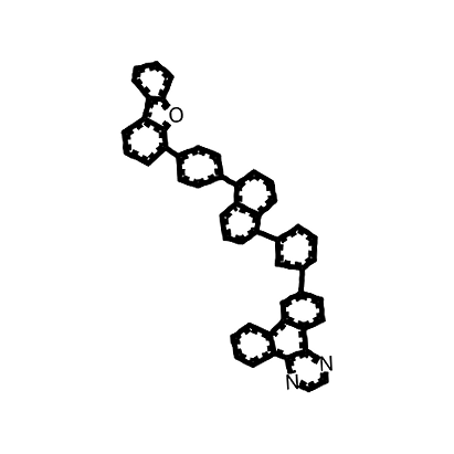 c1cc(-c2ccc3c(c2)c2ccccc2c2nccnc32)cc(-c2cccc3c(-c4ccc(-c5cccc6c5oc5ccccc56)cc4)cccc23)c1